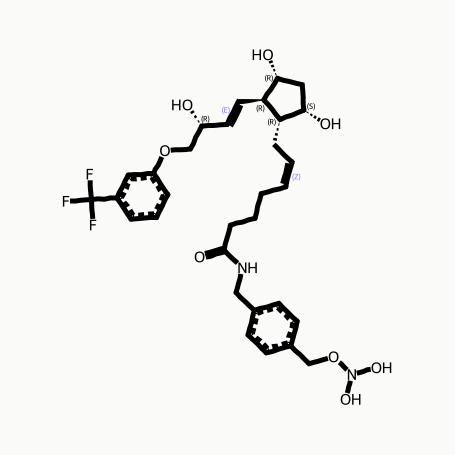 O=C(CCC/C=C\C[C@@H]1[C@@H](/C=C/[C@@H](O)COc2cccc(C(F)(F)F)c2)[C@H](O)C[C@@H]1O)NCc1ccc(CON(O)O)cc1